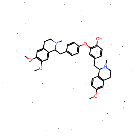 COc1ccc2c(c1)CCN(C)C2Cc1ccc(O)c(Oc2ccc(CC3c4cc(OC)c(OC)cc4CCN3C)cc2)c1